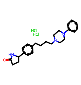 Cl.Cl.O=C1CCC(c2ccc(CCCCN3CCN(c4ccccc4)CC3)cc2)N1